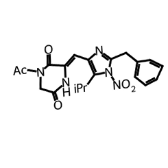 CC(=O)N1CC(=O)NC(=Cc2nc(Cc3ccccc3)n([N+](=O)[O-])c2C(C)C)C1=O